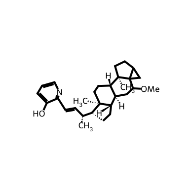 COC1C[C@H]2[C@@H]3CC[C@H]([C@H](C)/C=C/c4ncccc4O)[C@@]3(C)CC[C@@H]2[C@@]2(C)CCC3CC312